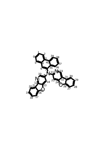 c1ccc2c(c1)cc(N(c1cnc3c(c1)oc1ccccc13)c1cc3oc4ccccc4c3cn1)c1ccccc12